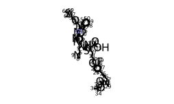 Cc1cc(N(CCN(C)C)c2nc(C(=O)O)c(CCCOc3ccc(C#CCN(C)C(=O)OC(C)(C)C)cc3F)s2)nnc1/N=c1\sc2ccccc2n1COCC[Si](C)(C)C